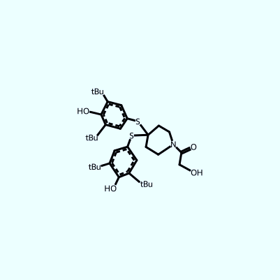 CC(C)(C)c1cc(SC2(Sc3cc(C(C)(C)C)c(O)c(C(C)(C)C)c3)CCN(C(=O)CO)CC2)cc(C(C)(C)C)c1O